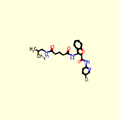 CC(C)CNC(=O)CCCC(=O)Nc1c(C(=O)Nc2ccc(Cl)cn2)oc2ccccc12